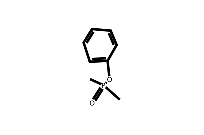 CP(C)(=O)Oc1ccccc1